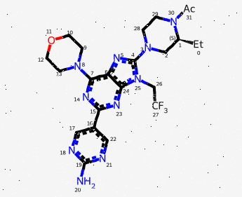 CC[C@H]1CN(c2nc3c(N4CCOCC4)nc(-c4cnc(N)nc4)nc3n2CC(F)(F)F)CCN1C(C)=O